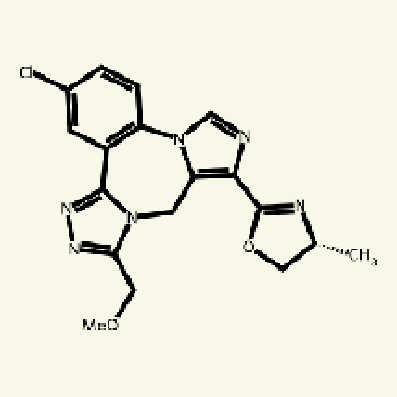 COCc1nnc2n1Cc1c(C3=N[C@H](C)CO3)ncn1-c1ccc(Cl)cc1-2